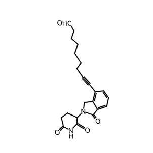 O=CCCCCCCC#Cc1cccc2c1CN(C1CCC(=O)NC1=O)C2=O